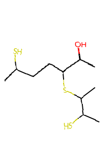 CC(S)CCC(SC(C)C(C)S)C(C)O